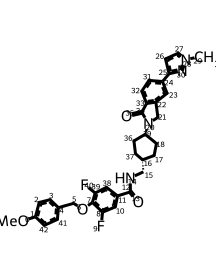 COc1ccc(COc2c(F)cc(C(=O)NC[C@H]3CC[C@H](N4Cc5cc(-c6ccn(C)n6)ccc5C4=O)CC3)cc2F)cc1